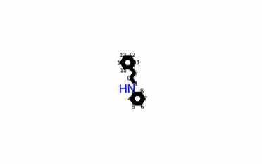 [CH](CNc1ccccc1)Cc1ccccc1